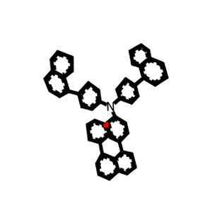 c1ccc(-c2cccc3cccc(-c4ccc(N(c5ccc(-c6cccc7ccccc67)cc5)c5ccc(-c6cccc7ccccc67)cc5)cc4)c23)cc1